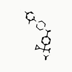 Cc1cnc(N2CCN(C(=O)c3ccc(C4(C5CC5)NC(=O)NC4=O)cc3)CC2)c(C)c1